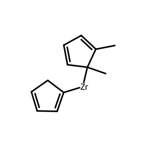 CC1=CC=C[C]1(C)[Zr][C]1=CC=CC1